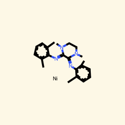 Cc1cccc(C)c1N=C1C(=Nc2c(C)cccc2C)N(C)CCN1C.[Ni]